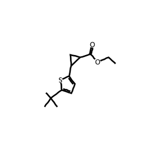 CCOC(=O)C1CC1c1ccc(C(C)(C)C)s1